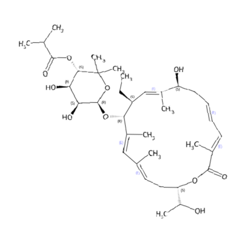 CC[C@H]1/C=C(\C)[C@@H](O)C/C=C/C=C(\C)C(=O)O[C@H](C(C)O)C/C=C(C)/C=C(\C)[C@@H]1O[C@@H]1OC(C)(C)[C@@H](OC(=O)C(C)C)[C@H](O)[C@@H]1O